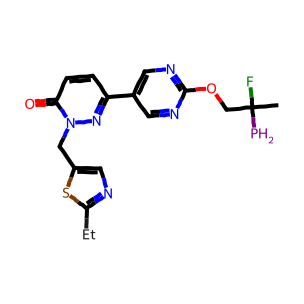 CCc1ncc(Cn2nc(-c3cnc(OCC(C)(F)P)nc3)ccc2=O)s1